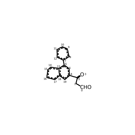 O=CCC(=O)c1cc(-c2ccccc2)c2ccccc2c1